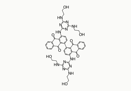 O=C1c2ccccc2C(=O)c2c(-c3ccc(Nc4nc(NCCO)nc(NCCO)n4)c4c3C(=O)c3ccccc3C4=O)ccc(Nc3nc(NCCO)nc(NCCO)n3)c21